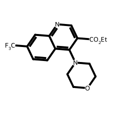 CCOC(=O)c1cnc2cc(C(F)(F)F)ccc2c1N1CCOCC1